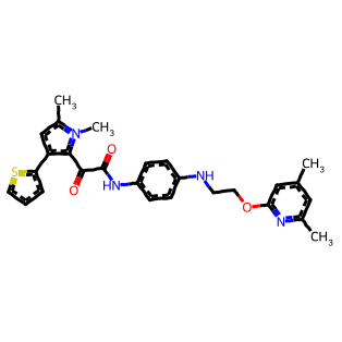 Cc1cc(C)nc(OCCNc2ccc(NC(=O)C(=O)c3c(-c4cccs4)cc(C)n3C)cc2)c1